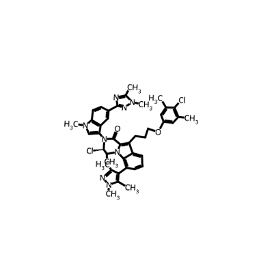 Cc1cc(OCCCc2c3n(c4c(-c5c(C)nn(C)c5C)cccc24)C(C)[C@@H](Cl)N(c2cn(C)c4ccc(-c5nc(C)n(C)n5)cc24)C3=O)cc(C)c1Cl